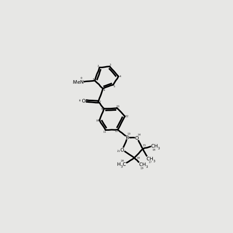 CNc1ccccc1C(=O)c1ccc(B2OC(C)(C)C(C)(C)O2)cc1